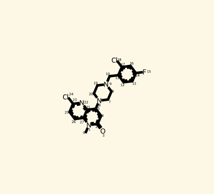 Cn1c(=O)cc(N2CCN(Cc3ccc(F)cc3Cl)CC2)c2nc(Cl)ccc21